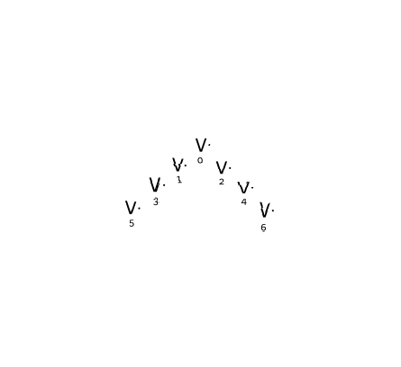 [V].[V].[V].[V].[V].[V].[V]